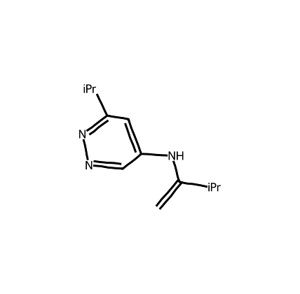 C=C(Nc1cnnc(C(C)C)c1)C(C)C